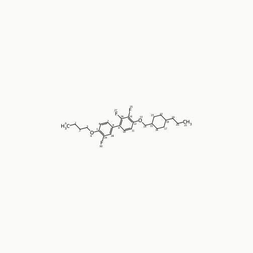 CCCCOc1ccc(-c2ccc(OCC3CCC(CCC)CC3)c(F)c2F)cc1F